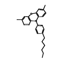 CCCCCCc1ccc(N2c3ccc(C)cc3Oc3cc(C)ccc32)cc1